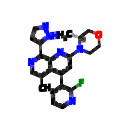 Cc1cnc(-c2ccn[nH]2)c2nc(N3CCOC[C@H]3C)cc(-c3cccnc3F)c12